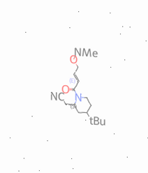 CNOC/C=C/C(=O)N1CCC(C(C)(C)C)C[C@H]1CC#N